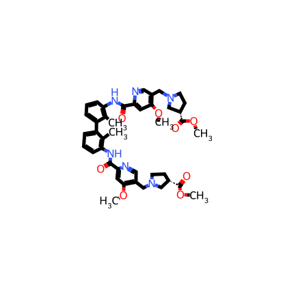 COC(=O)[C@H]1CCN(Cc2cnc(C(=O)Nc3cccc(-c4cccc(NC(=O)c5cc(OC)c(CN6CC[C@H](C(=O)OC)C6)cn5)c4C)c3C)cc2OC)C1